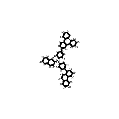 c1ccc(-c2ccc(-c3ccc(N(c4ccc(-c5cccc6c5ccc5ccccc56)cc4)c4ccc5ccccc5c4)cc3)cc2-c2ccccc2)cc1